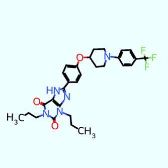 CCCn1c(=O)c2[nH]c(-c3ccc(OC4CCN(c5ccc(C(F)(F)F)cc5)CC4)cc3)nc2n(CCC)c1=O